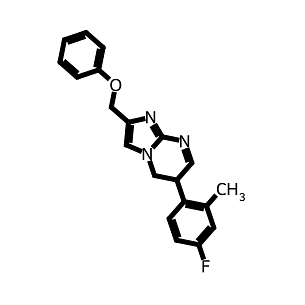 Cc1cc(F)ccc1C1C=Nc2nc(COc3ccccc3)cn2C1